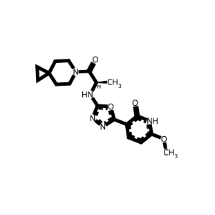 COc1ccc(-c2nnc(N[C@H](C)C(=O)N3CCC4(CC3)CC4)o2)c(=O)[nH]1